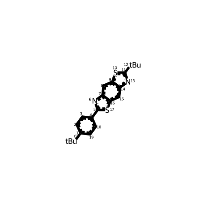 CC(C)(C)c1ccc(-c2nc3cc4sc(C(C)(C)C)nc4cc3s2)cc1